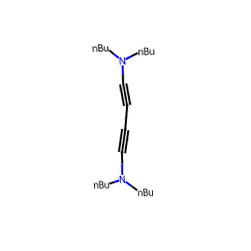 CCCCN(C#CC#CN(CCCC)CCCC)CCCC